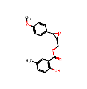 COc1ccc(C2OC2COC(=O)c2cc(C)ccc2O)cc1